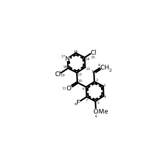 C=Cc1ccc(OC)c(F)c1C(=O)c1cc(Cl)cnc1Cl